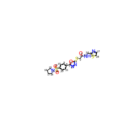 O=C(CSc1nnc(-c2ccc(S(=O)(=O)N3CCCC3)cc2)o1)NCc1nccs1